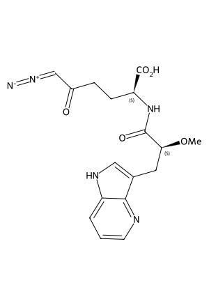 CO[C@@H](Cc1c[nH]c2cccnc12)C(=O)N[C@@H](CCC(=O)C=[N+]=[N-])C(=O)O